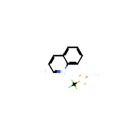 I.O=S(=O)(O)C(F)(F)F.c1ccc2ncccc2c1